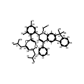 CCN1c2cc3c(cc2C(c2ccccc2)=CC1c1cc(C)cc(C)c1C1=COC(CC(C)C)C=C(CC(C)C)O1)-c1ccccc1C3(C)C